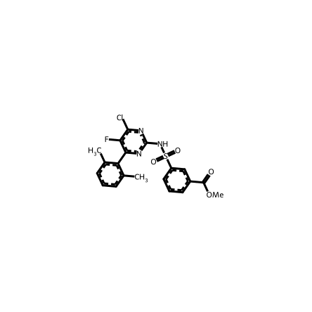 COC(=O)c1cccc(S(=O)(=O)Nc2nc(Cl)c(F)c(-c3c(C)cccc3C)n2)c1